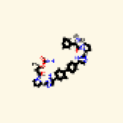 CCN(CC)[C@@H](C(=O)N1CCC[C@H]1c1ncc(-c2ccc(-c3ccc(-c4cnc([C@@H]5CCCN5C(=O)C[C@@H](OC(N)=O)C(C)C)[nH]4)cc3)cc2)[nH]1)c1ccccc1